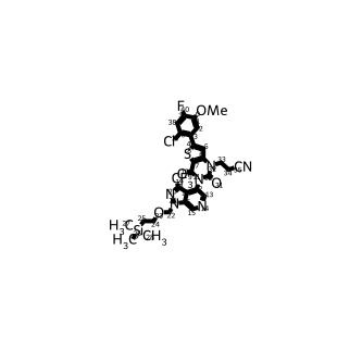 COc1cc(-c2cc3c(s2)c(=O)n(-c2cncc4c2c(C(F)(F)F)nn4COCC[Si](C)(C)C)c(=O)n3CCC#N)c(Cl)cc1F